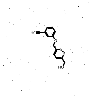 C#Cc1cccc(OCC2=CC=C(CO)SS2)c1